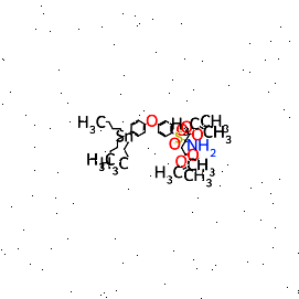 CCC[CH2][Sn]([CH2]CCC)([CH2]CCC)[c]1ccc(Oc2ccc(S(=O)(=O)C(N)(CC(=O)OC(C)(C)C)C(=O)OC(C)(C)C)cc2)cc1